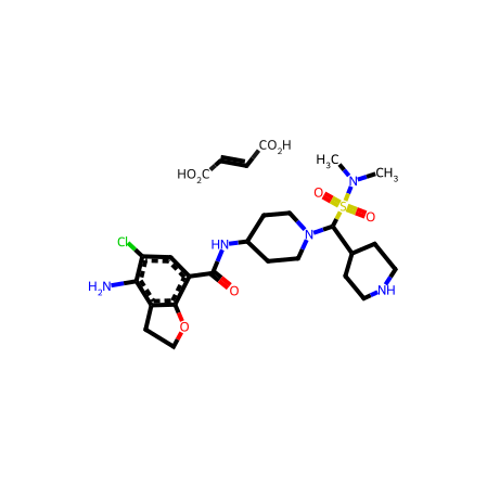 CN(C)S(=O)(=O)C(C1CCNCC1)N1CCC(NC(=O)c2cc(Cl)c(N)c3c2OCC3)CC1.O=C(O)C=CC(=O)O